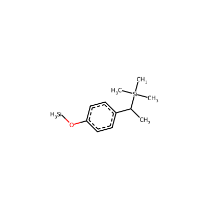 CC(c1ccc(O[SiH3])cc1)[Si](C)(C)C